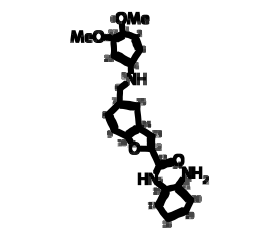 COc1ccc(NCc2ccc3oc(C(=O)Nc4ccccc4N)cc3c2)cc1OC